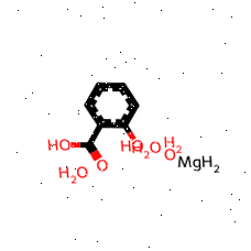 O.O.O.O=C(O)c1ccccc1O.[MgH2]